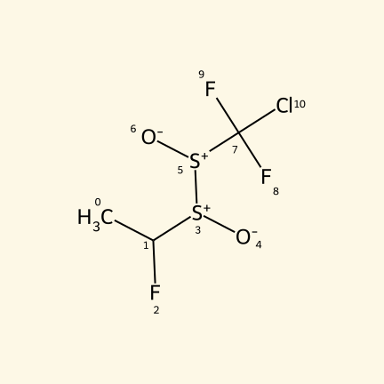 CC(F)[S+]([O-])[S+]([O-])C(F)(F)Cl